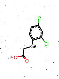 O=C(O)C[Se]c1ccc(Cl)cc1Cl